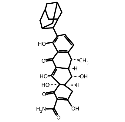 C[C@H]1c2ccc(C3C4CC5CC(C4)CC3C5)c(O)c2C(=O)C2=C(O)[C@]3(O)C(=O)C(C(N)=O)=C(O)C[C@@H]3[C@@H](O)[C@@H]21